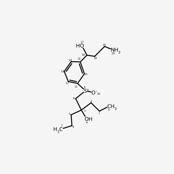 CCCC(O)(CCC)C[S+]([O-])c1cccc(C(O)CCN)c1